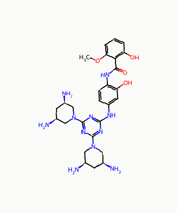 COc1cccc(O)c1C(=O)Nc1ccc(Nc2nc(N3C[C@H](N)C[C@H](N)C3)nc(N3C[C@H](N)C[C@H](N)C3)n2)cc1O